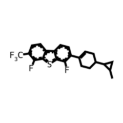 CC1CC1C1CC=C(c2ccc3c(sc4c(F)c(C(F)(F)F)ccc43)c2F)CC1